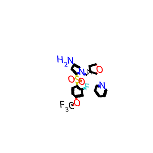 Nc1cc(S(=O)(=O)c2ccc(OC(F)(F)F)cc2F)n(C[C@@H]2CCOC2)c1.c1ccncc1